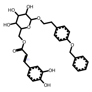 O=C(/C=C/c1ccc(O)c(O)c1)OCC1OC(OCCc2ccc(OCc3ccccc3)cc2)C(O)C(O)C1O